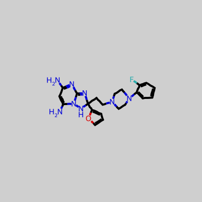 NC1=CC(N)=NC2=NC(CCN3CCN(c4ccccc4F)CC3)(c3ccco3)NN12